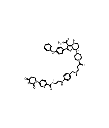 CN(CCC(=O)N1CCC([C@@H]2CCNc3c(C(N)=O)c(-c4ccc(Oc5ccccc5)cc4)nn32)CC1)Cc1ccc(NCCNC(=O)c2ccc(N3CCC(=O)NC3=O)cn2)cc1